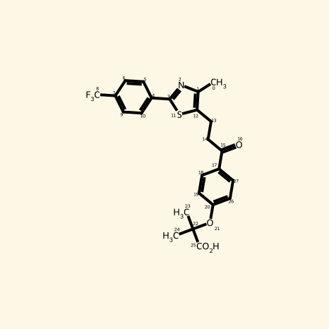 Cc1nc(-c2ccc(C(F)(F)F)cc2)sc1CCC(=O)c1ccc(OC(C)(C)C(=O)O)cc1